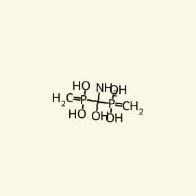 C=P(O)(O)C(N)(O)P(=C)(O)O